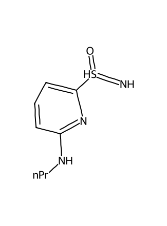 CCCNc1cccc([SH](=N)=O)n1